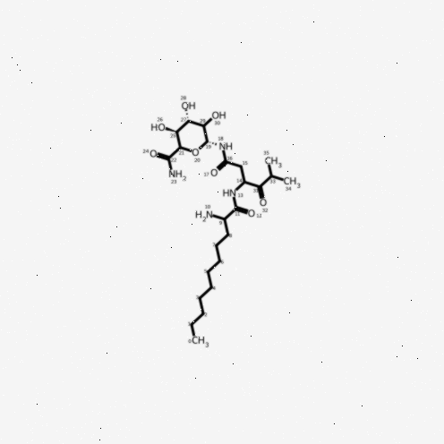 CCCCCCCCCC(N)C(=O)NC(CC(=O)N[C@@H]1OC(C(N)=O)[C@@H](O)[C@H](O)C1O)C(=O)C(C)C